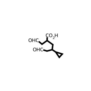 O=CCC(CC(CC=O)C1CC1)C(=O)O